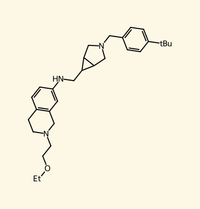 CCOCCN1CCc2ccc(NCC3C4CN(Cc5ccc(C(C)(C)C)cc5)CC34)cc2C1